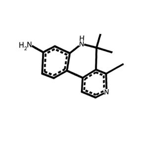 Cc1nccc2c1C(C)(C)Nc1cc(N)ccc1-2